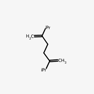 C=C(CCC(=C)C(C)C)C(C)C